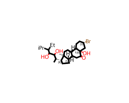 CCC(C(C)C)C(O)C(O)C(C)[C@H]1CC[C@H]2[C@@H]3CC(=O)[C@@]4(O)C[C@@H](Br)CC[C@]4(C)[C@H]3CC[C@]12C